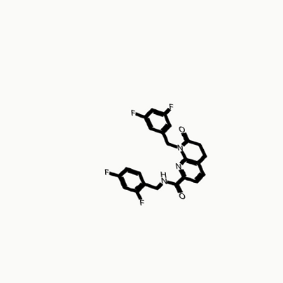 O=C(NCc1ccc(F)cc1F)c1ccc2c(n1)N(Cc1cc(F)cc(F)c1)C(=O)CC2